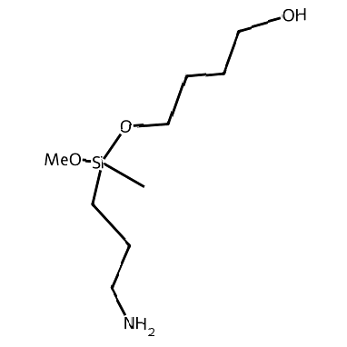 CO[Si](C)(CCCN)OCCCCO